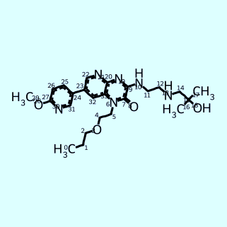 CCCOCCn1c(=O)c(NCCNCC(C)(C)O)nc2ncc(-c3ccc(OC)nc3)cc21